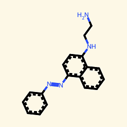 NCCNc1ccc(N=Nc2ccccc2)c2ccccc12